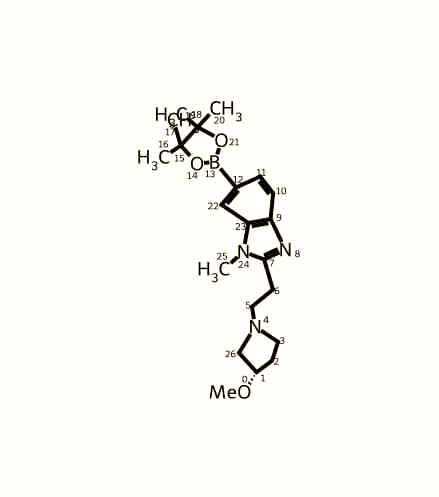 CO[C@H]1CCN(CCc2nc3ccc(B4OC(C)(C)C(C)(C)O4)cc3n2C)C1